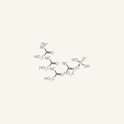 N#CC(=O)C(=O)O.N#CC(=O)C(=O)O.N#CC(=O)C(=O)O.N#CC(=O)C(=O)O.O=P([O-])(O)O.[Na+]